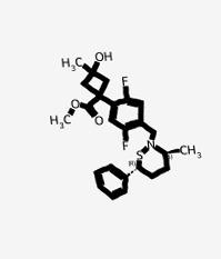 COC(=O)C1(c2cc(F)c(CN3S[C@@H](c4ccccc4)CC[C@@H]3C)cc2F)CC(C)(O)C1